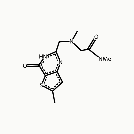 CNC(=O)CN(C)Cc1nc2cc(C)sc2c(=O)[nH]1